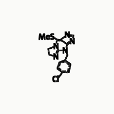 CSC1=C2N=CN=C2N(Cc2ccc(Cl)cc2)C2=NCCN21